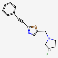 F[C@H]1CCN(Cc2cnc(C#Cc3ccccc3)s2)C1